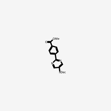 CCCCCCCCCCc1cnc(-c2ccc(C(=O)OC)cc2)nc1